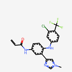 C=CC(=O)Nc1ccc(Nc2ccc(C(F)(F)F)c(Cl)c2)c(-c2cn(C)cn2)c1